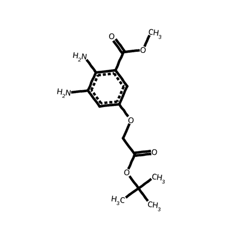 COC(=O)c1cc(OCC(=O)OC(C)(C)C)cc(N)c1N